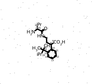 CC(C)[C@H](N)C(=O)NCCC(C(=O)O)c1ccccc1C(C)(C)C(C)C